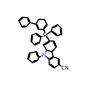 N#Cc1ccc2c(c1)C1C=CC([Si](C3=CCCC(c4ccccc4)=C3)(c3ccccc3)c3ccccc3)=CC1N2c1ccccc1